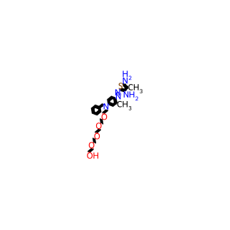 Cc1cc(N(CCOCCOCCOCCOCCO)Cc2ccccc2)ccc1/N=N/c1sc(N)c(C)c1N